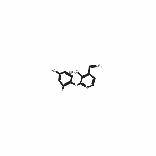 C=Cc1ccnc(Oc2ccc(C#N)cc2F)c1C(=O)OCC